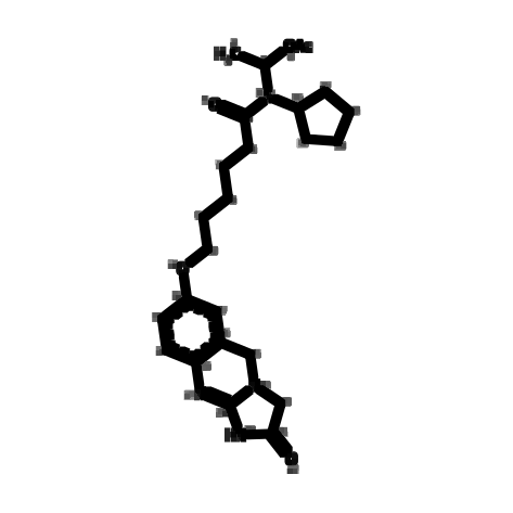 CC(=O)OC(C)N(C(=O)CCCCCOc1ccc2c(c1)CN1CC(=O)NC1=N2)C1CCCC1